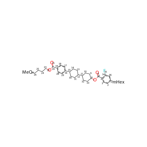 CCCCCCc1ccc(C(=O)OC2CCC(C3CCC(c4ccc(C(=O)OCCCCOC)cc4)CC3)CC2)c(F)c1